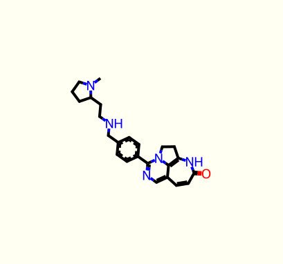 CN1CCCC1CCNCc1ccc(C2=NC=C3C=CC(=O)NC4=C3N2CC4)cc1